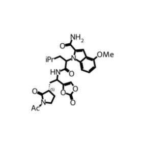 COc1cccc2c1cc(C(N)=O)n2C(CC(C)C)C(=O)NC(C[C@@H]1CCN(C(C)=O)C1=O)c1coc(=O)o1